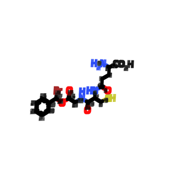 NC(CCC(=O)NC(CS)C(=O)NCC(=O)OC(Br)c1ccccc1)C(=O)O